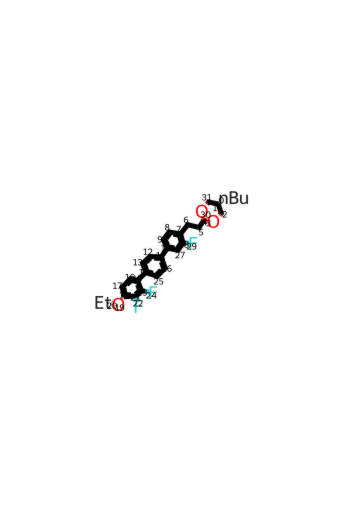 CCCCC1COC(CCc2ccc(-c3ccc(-c4ccc(OCC)c(F)c4F)cc3)cc2F)OC1